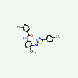 Cc1ccc(NC(=O)c2cccc(Br)c2)cc1Nc1nnc(-c2ccc(C(F)(F)F)cc2)s1